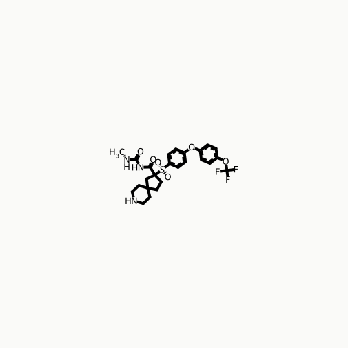 CNC(=O)NC(=O)C1(S(=O)(=O)c2ccc(Oc3ccc(OC(F)(F)F)cc3)cc2)CCC2(CCNCC2)C1